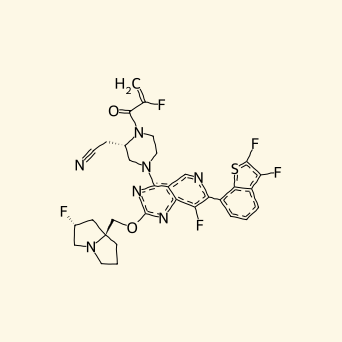 C=C(F)C(=O)N1CCN(c2nc(OC[C@@]34CCCN3C[C@H](F)C4)nc3c(F)c(-c4cccc5c(F)c(F)sc45)ncc23)C[C@@H]1CC#N